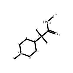 CN1CCC(C(C)(C)C(=O)NI)CC1